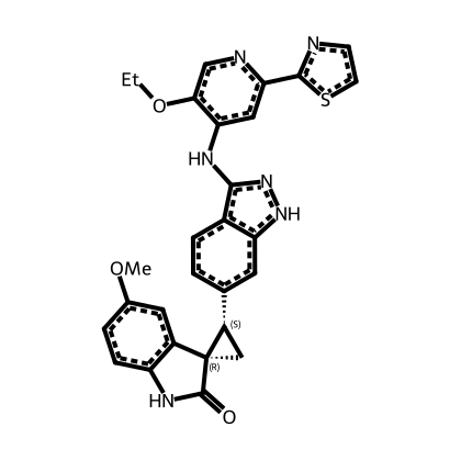 CCOc1cnc(-c2nccs2)cc1Nc1n[nH]c2cc([C@@H]3C[C@@]34C(=O)Nc3ccc(OC)cc34)ccc12